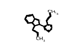 CCCc1ccccc1C1[C]C2C=CC=CC2C1CCC